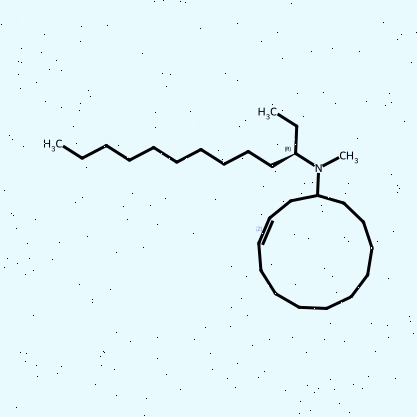 CCCCCCCCCC[C@@H](CC)N(C)C1C/C=C\CCCCCCCCC1